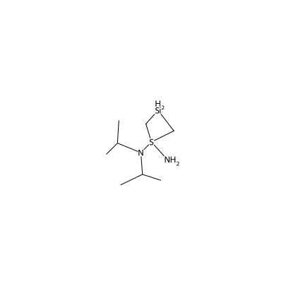 CC(C)N(C(C)C)S1(N)C[SiH2]C1